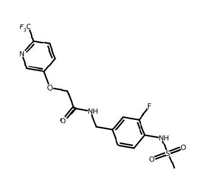 CS(=O)(=O)Nc1ccc(CNC(=O)COc2ccc(C(F)(F)F)nc2)cc1F